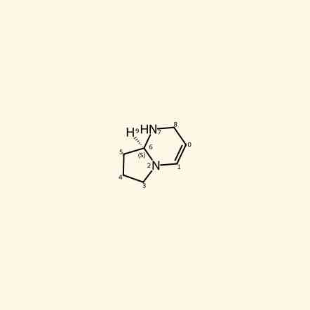 C1=CN2CCC[C@H]2NC1